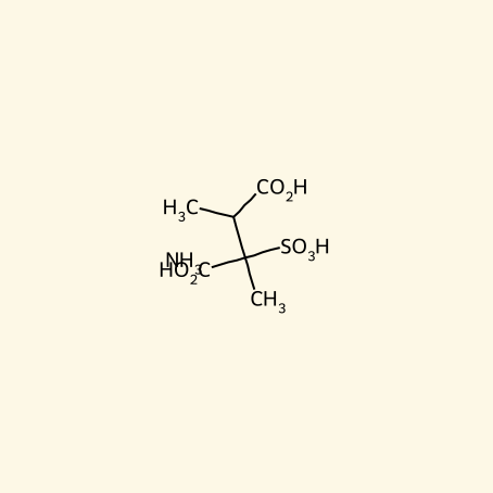 CC(C(=O)O)C(C)(C(=O)O)S(=O)(=O)O.N